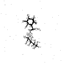 C/C(=N\OS(=O)(=O)C(F)(F)C(F)(F)C(F)(F)C(F)(F)F)c1c(F)c(F)c(F)c(F)c1F